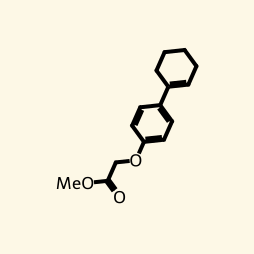 COC(=O)COc1ccc(C2=CCCCC2)cc1